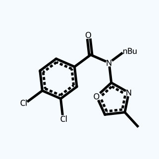 CCCCN(C(=O)c1ccc(Cl)c(Cl)c1)c1nc(C)co1